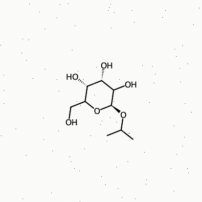 CC(C)O[C@H]1OC(CO)[C@H](O)[C@H](O)C1O